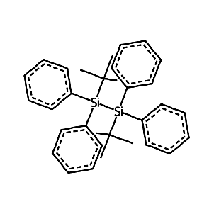 CC(C)(C)[Si](c1ccccc1)(c1ccccc1)[Si](c1ccccc1)(c1ccccc1)C(C)(C)C